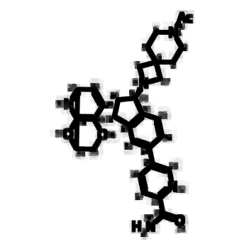 CC(=O)N1CCC2(CC1)CN([C@@H]1CCc3cc(-c4ccc(C(N)=O)nc4)ccc31)C2.c1cc2c3nc1C(CO2)O3